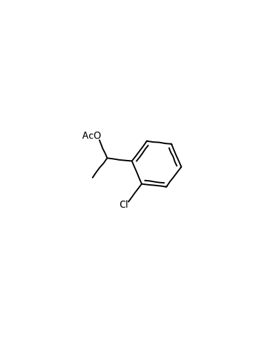 CC(=O)OC(C)c1ccccc1Cl